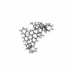 CC1(C)OB(c2cc(-c3ccccc3-c3ccc(-c4ccc5c(c4)C4CC6CC(CC5C6)C4)nc3)cc(-c3ccccc3-c3ccc(-c4ccc5c(c4)C4CC6CC(CC5C6)C4)nc3)c2)OC1(C)C